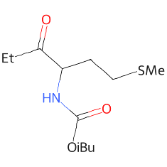 CCC(=O)C(CCSC)NC(=O)OCC(C)C